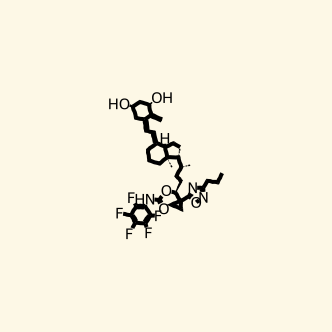 C=C1/C(=C\C=C2/CCC[C@]3(C)[C@@H]([C@H](C)CC[C@H](OC(=O)Nc4c(F)c(F)c(F)c(F)c4F)C4(c5nc(CCC)no5)CC4)CC[C@@H]23)C[C@@H](O)C[C@@H]1O